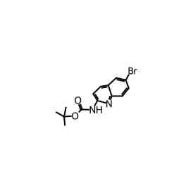 CC(C)(C)OC(=O)Nc1ccc2cc(Br)ccc2n1